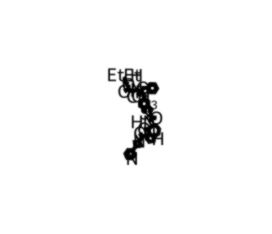 CCC(CC)COC(=O)[C@H](C)NP(=O)(Cc1ccc2sc(C(=O)N[C@H]3CCC[C@H]4CC[C@@H](C(=O)N5CC(c6cccnc6)C5)N4C3=O)cc2c1)Oc1ccccc1